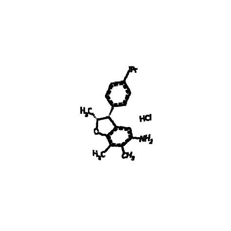 Cc1c(N)cc2c(c1C)O[C@H](C)[C@@H]2c1ccc(C(C)C)cc1.Cl